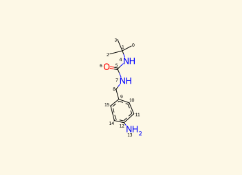 CC(C)(C)NC(=O)NCc1ccc(N)cc1